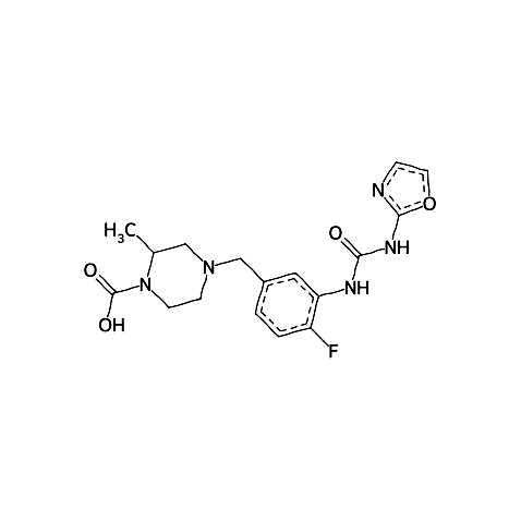 CC1CN(Cc2ccc(F)c(NC(=O)Nc3ncco3)c2)CCN1C(=O)O